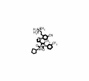 Cc1c(-c2ccnn2-c2ccc(C#N)cc2CC[N+](C)(C)C)n(C(=O)NC2CCCCC2)c(=O)n1-c1cccc(C(F)(F)F)c1